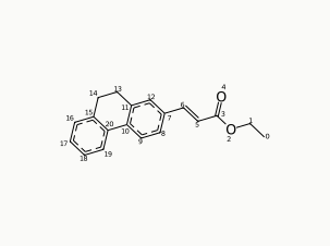 CCOC(=O)C=Cc1ccc2c(c1)CCc1ccccc1-2